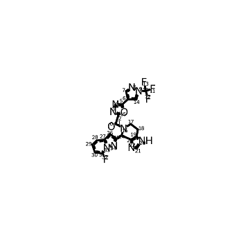 O=C(c1nnc(-c2cnn(C(F)(F)F)c2)o1)N1CCc2[nH]cnc2C1c1cc2cccc(F)n2n1